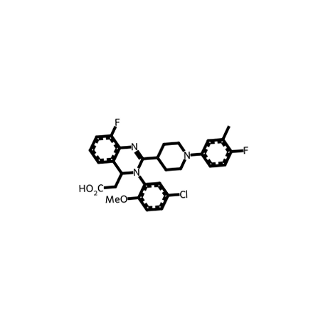 COc1ccc(Cl)cc1N1C(C2CCN(c3ccc(F)c(C)c3)CC2)=Nc2c(F)cccc2C1CC(=O)O